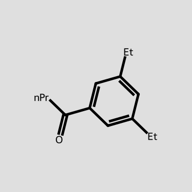 CCCC(=O)c1cc(CC)cc(CC)c1